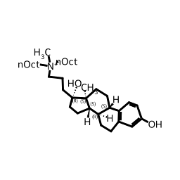 CCCCCCCC[N+](C)(CCCCCCCC)CCC[C@]1(O)CC[C@H]2[C@@H]3CCc4cc(O)ccc4[C@H]3CC[C@@]21C